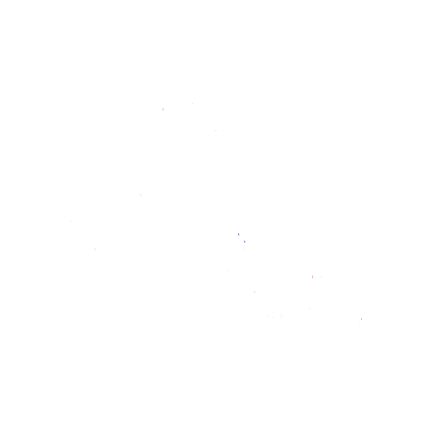 CC(=O)CC(=O)OC(C)(C)CN(C)CCC(c1ccccc1)c1ccccc1